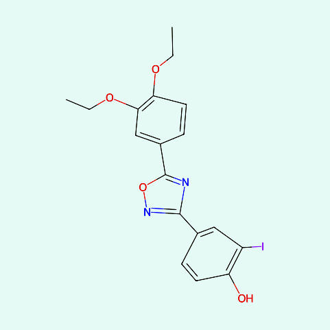 CCOc1ccc(-c2nc(-c3ccc(O)c(I)c3)no2)cc1OCC